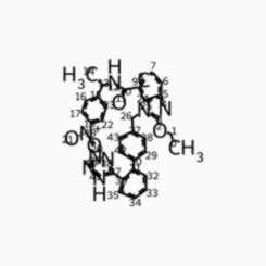 CCOc1nc2cccc(C(=O)NC(C)c3ccc([N+](=O)[O-])cc3)c2n1Cc1ccc(-c2ccccc2-c2nnn[nH]2)cc1